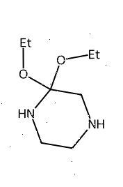 CCOC1(OCC)CNCCN1